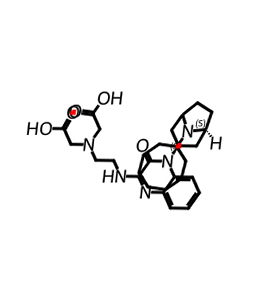 O=C(O)CN(CCNc1nc2ccccc2n([C@H]2CC3CC[C@@H](C2)N3C2CCCCCCC2)c1=O)CC(=O)O